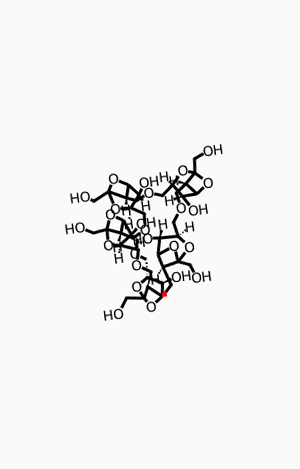 CC[C@H]1C2OC1(CO)O[C@H](COC[C@H]1C3OC1(CO)O[C@H](COC[C@H]1C4OC1(CO)O[C@H](COC[C@H]1C5OC1(CO)O[C@H](COC[C@H]1C6OC1(CO)O[C@H](COC)[C@H]6O)[C@H]5O)[C@H]4O)[C@H]3O)[C@H]2O